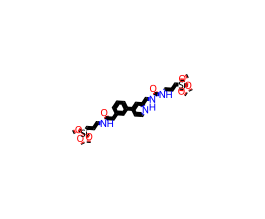 CO[Si](CCCNC(=O)Cc1cccc(-c2ccnc(CNC(=O)NCCC[Si](OC)(OC)OC)c2)c1)(OC)OC